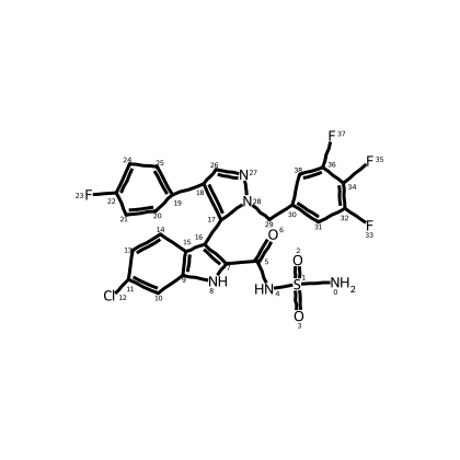 NS(=O)(=O)NC(=O)c1[nH]c2cc(Cl)ccc2c1-c1c(-c2ccc(F)cc2)cnn1Cc1cc(F)c(F)c(F)c1